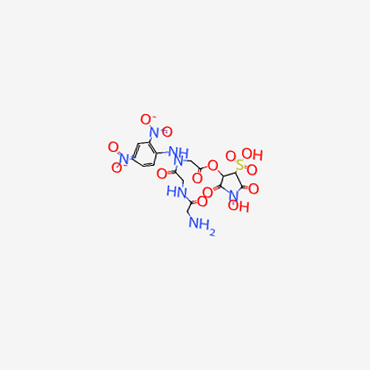 NCC(=O)NCC(=O)N(CC(=O)OC1C(=O)N(O)C(=O)C1S(=O)(=O)O)Nc1ccc([N+](=O)[O-])cc1[N+](=O)[O-]